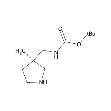 CC(C)(C)OC(=O)NC[C@]1(C)CCNC1